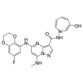 CNc1cc(Nc2cc(F)cc3c2OCCO3)nc2c(C(=O)NN3C=CC=CC(O)=C3)cnn12